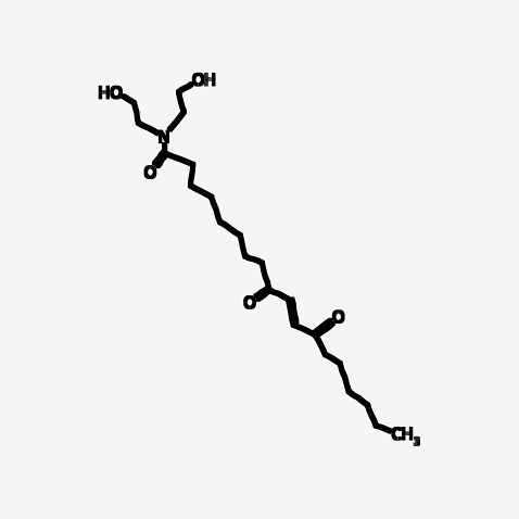 CCCCCCC(=O)C=CC(=O)CCCCCCCC(=O)N(CCO)CCO